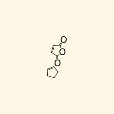 C1=CCCC1.O=C1C=CC(=O)O1